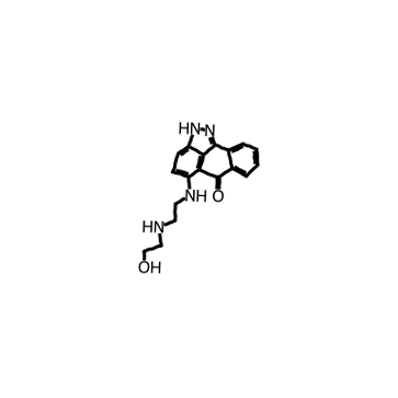 O=C1c2ccccc2-c2n[nH]c3ccc(NCCNCCO)c1c23